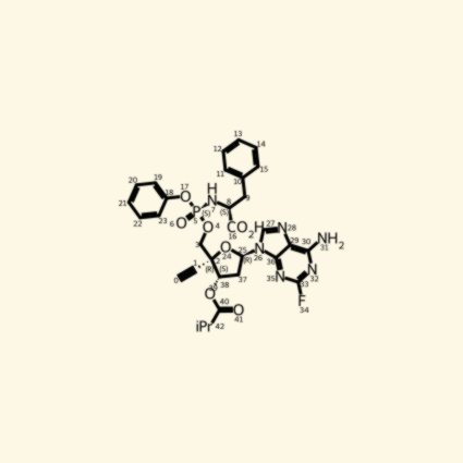 C#C[C@]1(CO[P@@](=O)(N[C@@H](Cc2ccccc2)C(=O)O)Oc2ccccc2)O[C@@H](n2cnc3c(N)nc(F)nc32)C[C@@H]1OC(=O)C(C)C